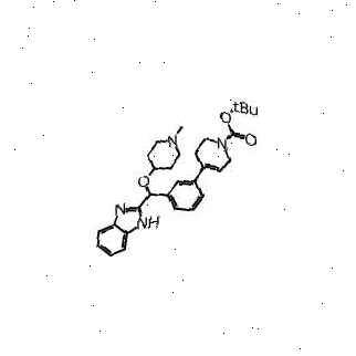 CN1CCC(OC(c2cccc(C3=CCN(C(=O)OC(C)(C)C)CC3)c2)c2nc3ccccc3[nH]2)CC1